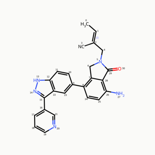 C/C=C(\C#N)CN1Cc2c(-c3ccc4[nH]nc(-c5cccnc5)c4c3)ccc(N)c2C1=O